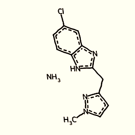 Cn1ccc(Cc2nc3cc(Cl)ccc3[nH]2)n1.N